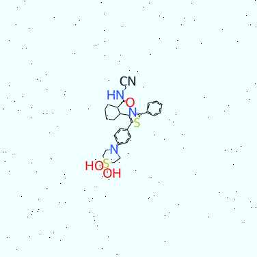 N#CCNC(=O)C1CCCCC1c1nc(-c2ccccc2)sc1-c1ccc(N2CCS(O)(O)CC2)cc1